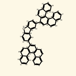 c1ccc2c(c1)ccc1cc(-c3ccc4oc5ccc(-c6cc7ccc8ccccc8c7c7c6ccc6ccccc67)cc5c4c3)c3ccc4ccccc4c3c12